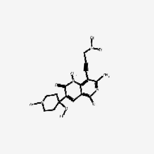 CCOC1(c2cc3c(Cl)nc(C)c(C#CCN(CC)CC)c3n(C)c2=O)CCN(C(C)=O)CC1